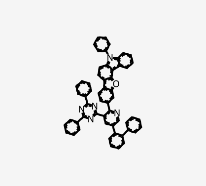 c1ccc(-c2nc(-c3ccccc3)nc(-c3cc(-c4ccccc4-c4ccccc4)cnc3-c3ccc4c(c3)oc3c4ccc4c3c3ccccc3n4-c3ccccc3)n2)cc1